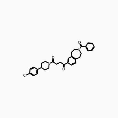 O=C(CCC(=O)N1CCC(c2ccc(Cl)cc2)CC1)c1ccc2c(c1)CCN(C(=O)c1ccccc1)CC2